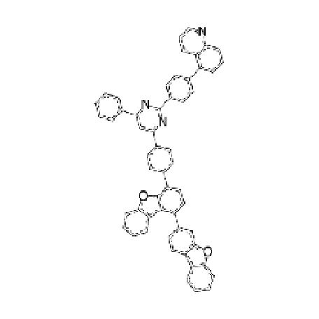 c1ccc(-c2cc(-c3ccc(-c4ccc(-c5ccc6c(c5)oc5ccccc56)c5c4oc4ccccc45)cc3)nc(-c3ccc(-c4cccc5ncccc45)cc3)n2)cc1